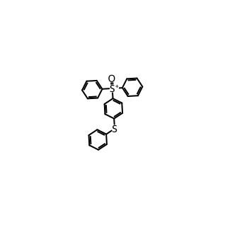 O=[S+](c1ccccc1)(c1ccccc1)c1ccc(Sc2ccccc2)cc1